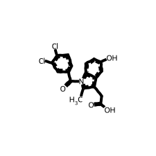 Cc1c(CC(=O)O)c2cc(O)ccc2n1C(=O)c1ccc(Cl)c(Cl)c1